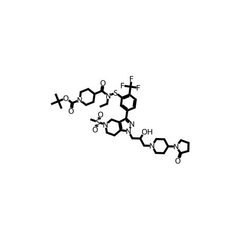 CCN(Sc1cc(-c2nn(CC(O)CN3CCC(N4CCCC4=O)CC3)c3c2CN(S(C)(=O)=O)CC3)ccc1C(F)(F)F)C(=O)C1CCN(C(=O)OC(C)(C)C)CC1